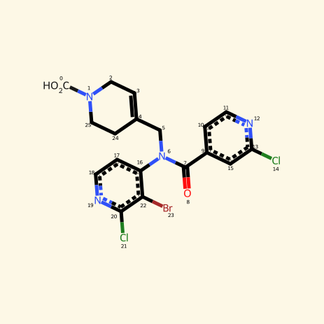 O=C(O)N1CC=C(CN(C(=O)c2ccnc(Cl)c2)c2ccnc(Cl)c2Br)CC1